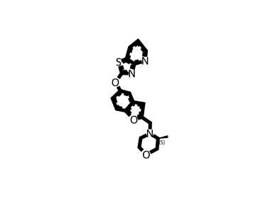 C[C@H]1COCCN1Cc1cc2cc(Oc3nc4ncccc4s3)ccc2o1